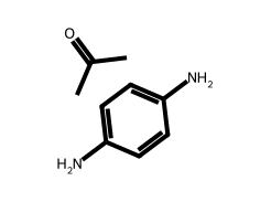 CC(C)=O.Nc1ccc(N)cc1